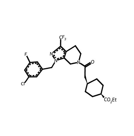 CCOC(=O)[C@H]1CC[C@@H](CC(=O)N2CCc3c(C(F)(F)F)nn(Cc4cc(F)cc(Cl)c4)c3C2)CC1